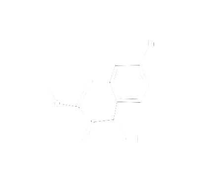 C=C(C(=O)OC)C(O)c1ccc(Br)cc1